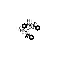 Cc1ccc(NC(=O)NS(=O)(=O)c2ccccc2)cc1NC(=O)NS(=O)(=O)c1ccccc1